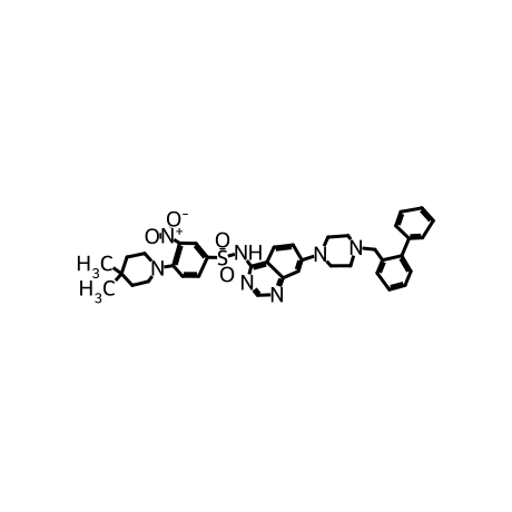 CC1(C)CCN(c2ccc(S(=O)(=O)Nc3ncnc4cc(N5CCN(Cc6ccccc6-c6ccccc6)CC5)ccc34)cc2[N+](=O)[O-])CC1